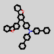 C1=CC2Oc3cc(-c4ccc(N(c5ccc(-c6ccccc6)cc5)c5ccc(-c6ccccc6)cc5)cc4)c(-c4ccc5oc6ccccc6c5c4)cc3C2C=C1